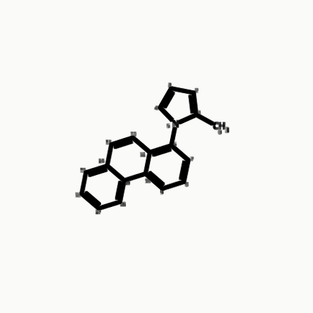 Cc1cccn1-c1cccc2c1ccc1ccccc12